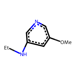 CCNc1cncc(OC)c1